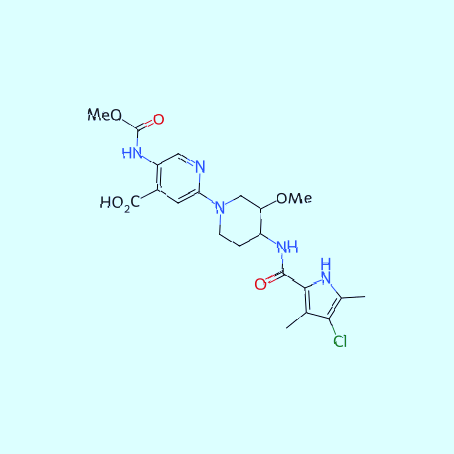 COC(=O)Nc1cnc(N2CCC(NC(=O)c3[nH]c(C)c(Cl)c3C)C(OC)C2)cc1C(=O)O